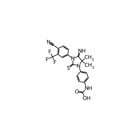 CC1(C)C(=N)N(c2ccc(C#N)c(C(F)(F)F)c2)C(=S)N1c1ccc(NC(=O)O)cc1